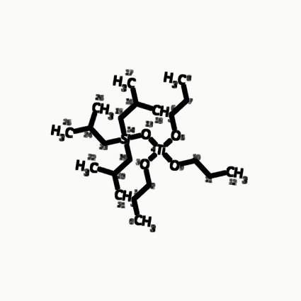 CCC[O][Ti]([O]CCC)([O]CCC)[O][Si](CC(C)C)(CC(C)C)CC(C)C